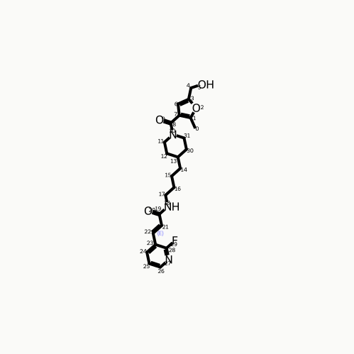 Cc1oc(CO)cc1C(=O)N1CCC(CCCCNC(=O)/C=C/c2cccnc2F)CC1